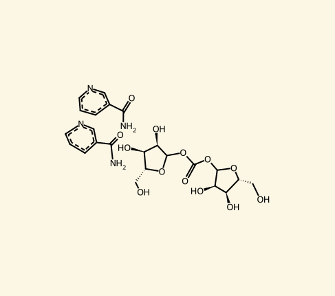 NC(=O)c1cccnc1.NC(=O)c1cccnc1.O=C(OC1O[C@H](CO)[C@@H](O)[C@H]1O)OC1O[C@H](CO)[C@@H](O)[C@H]1O